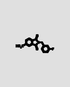 O=C(O)c1ccc2c(c1)C(=O)N(Cc1cccc(F)c1)C2=O